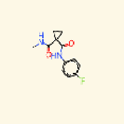 CNC(=O)C1(C(=O)Nc2ccc(F)cc2)CC1